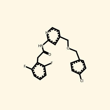 O=C(Cc1c(F)cccc1F)Nc1cc(COCc2ccc(Cl)cc2)ccn1